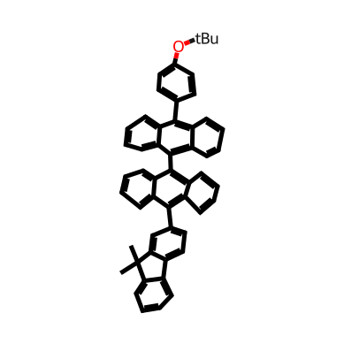 CC(C)(C)Oc1ccc(-c2c3ccccc3c(-c3c4ccccc4c(-c4ccc5c(c4)C(C)(C)c4ccccc4-5)c4ccccc34)c3ccccc23)cc1